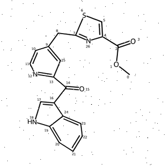 COC(=O)c1csc(Cc2ccnc(C(=O)c3c[nH]c4ccccc34)c2)n1